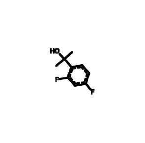 CC(C)(O)c1ccc(F)cc1F